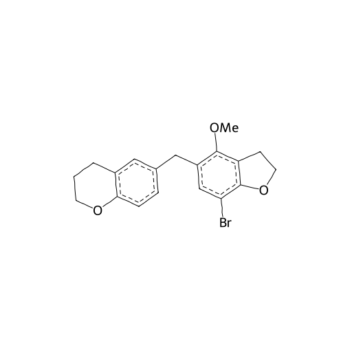 COc1c(Cc2ccc3c(c2)CCCO3)cc(Br)c2c1CCO2